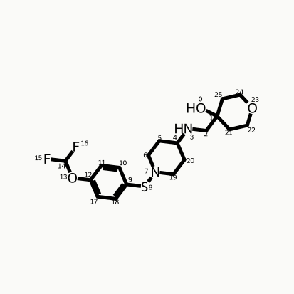 OC1(CNC2CCN(Sc3ccc(OC(F)F)cc3)CC2)CCOCC1